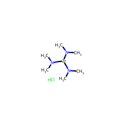 C[N](C)[Zr]([N](C)C)[N](C)C.Cl